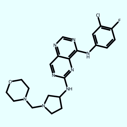 Fc1ccc(Nc2ncnc3cnc(NC4CCN(CN5CCOCC5)C4)nc23)cc1Cl